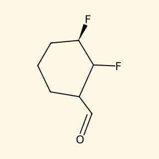 O=CC1CCC[C@@H](F)C1F